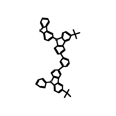 CC(C)(C)c1ccc2c(c1)c1cc(-c3cccc(-c4ccc5c(c4)c4cc(C(C)(C)C)ccc4n5-c4ccc5sc6ccccc6c5c4)c3)ccc1n2-c1ccccc1